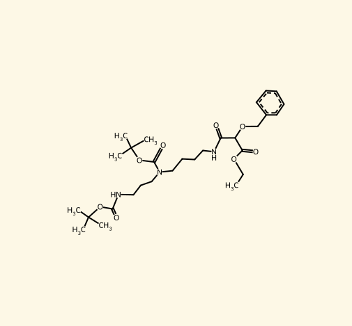 CCOC(=O)C(OCc1ccccc1)C(=O)NCCCCN(CCCNC(=O)OC(C)(C)C)C(=O)OC(C)(C)C